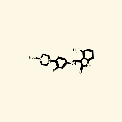 Cc1cccc2c1C(=CNc1ccc(N3CCN(C)CC3)c(F)c1)C(=O)N2